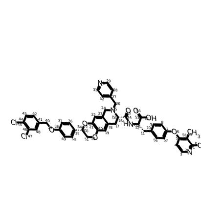 Cc1nccc(Oc2ccc(C[C@H](NC(=O)[C@@H]3Cc4cc5c(cc4CN3Cc3ccncc3)O[C@@H](c3ccc(OCc4ccc(Cl)c(Cl)c4)cc3)CO5)C(=O)O)cc2)c1C